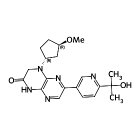 CO[C@@H]1CC[C@@H](N2CC(=O)Nc3ncc(-c4ccc(C(C)(C)O)nc4)nc32)C1